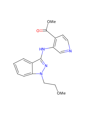 COCCn1nc(Nc2cnccc2C(=O)OC)c2ccccc21